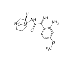 N=C(C(=O)N[C@H]1CN2CCC1CC2)c1ccc(OC(F)(F)F)cc1N